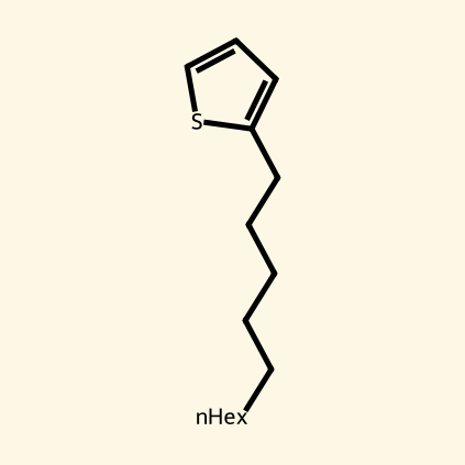 CCCCCCCCCCCc1cccs1